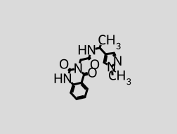 CC(NC(=O)Cn1c(=O)[nH]c2ccccc2c1=O)c1cnn(C)c1